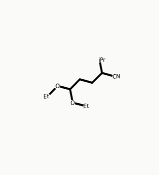 CCOC(CCC(C#N)C(C)C)OCC